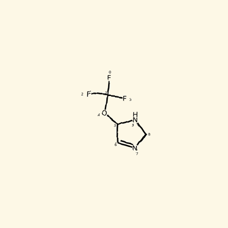 FC(F)(F)OC1[C]=NCN1